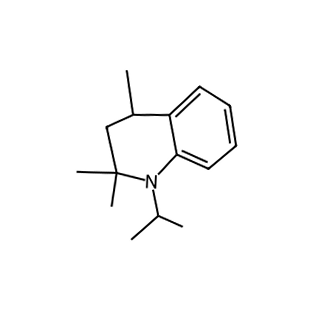 CC1CC(C)(C)N(C(C)C)c2ccccc21